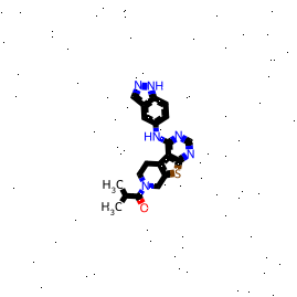 CC(C)C(=O)N1CCc2c(sc3ncnc(Nc4ccc5[nH]ncc5c4)c23)C1